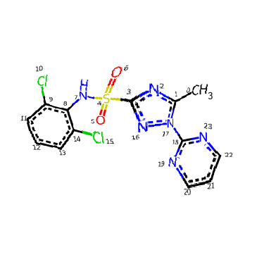 Cc1nc(S(=O)(=O)Nc2c(Cl)cccc2Cl)nn1-c1ncccn1